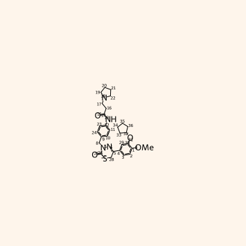 COc1ccc(C2=NN(Cc3ccc(NC(=O)CCN4CCCC4)cc3)C(=O)SC2)cc1OC1CCCC1